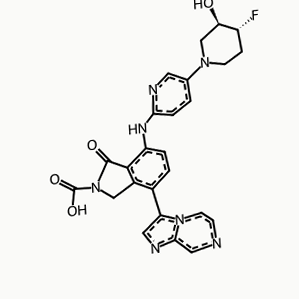 O=C(O)N1Cc2c(-c3cnc4cnccn34)ccc(Nc3ccc(N4CC[C@@H](F)[C@H](O)C4)cn3)c2C1=O